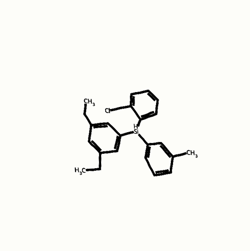 CCc1cc(CC)cc([SiH](c2cccc(C)c2)c2ccccc2Cl)c1